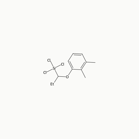 CCC(Oc1cccc(C)c1C)[Si](Cl)(Cl)Cl